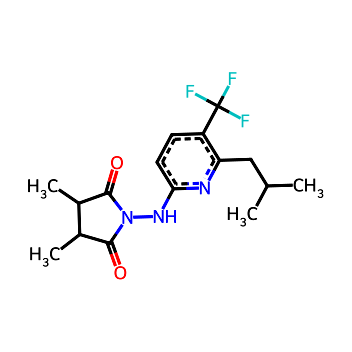 CC(C)Cc1nc(NN2C(=O)C(C)C(C)C2=O)ccc1C(F)(F)F